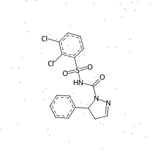 O=C(NS(=O)(=O)c1cccc(Cl)c1Cl)N1N=CCC1c1ccccc1